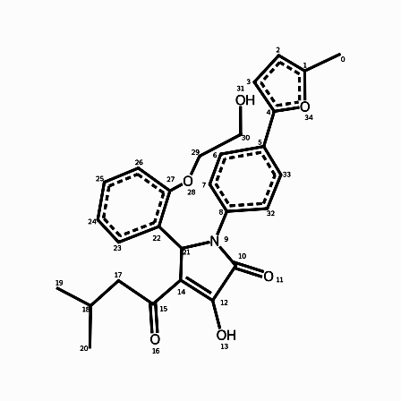 Cc1ccc(-c2ccc(N3C(=O)C(O)=C(C(=O)CC(C)C)C3c3ccccc3OCCO)cc2)o1